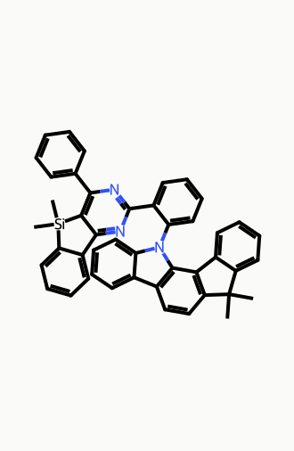 CC1(C)c2ccccc2-c2c1ccc1c3ccccc3n(-c3ccccc3-c3nc(-c4ccccc4)c4c(n3)-c3ccccc3[Si]4(C)C)c21